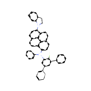 Fc1c(-c2ccccc2)cc(C2=CC=CCC2)cc1N(c1ccccc1)c1ccc2ccc3c(N4CCc5ccccc54)ccc4ccc1c2c43